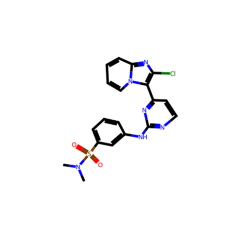 CN(C)S(=O)(=O)c1cccc(Nc2nccc(-c3c(Cl)nc4ccccn34)n2)c1